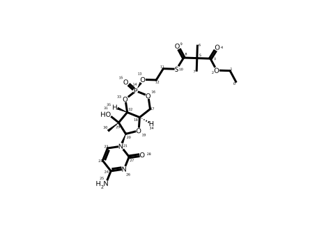 CCOC(=O)C(C)(C)C(=O)SCCO[P@@]1(=O)OC[C@H]2O[C@@H](n3ccc(N)nc3=O)[C@](C)(O)[C@@H]2O1